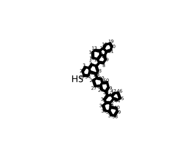 Sc1ccc2cc(-c3ccc4c5c(cccc35)-c3ccccc3-4)cc(-c3ccc4cc(-c5cc6ccc7ccccc7c6c6ccccc56)ccc4c3)c2c1